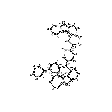 C1=CCC=c2oc3cccc(N(c4ccc(-c5ccccc5)cc4)c4ccc(C5CCc6ccc7oc8ccccc8c7c6C5)cc4)c3c2=C1